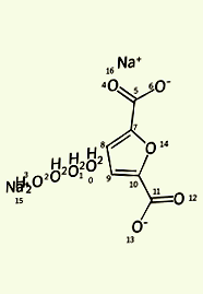 O.O.O.O.O=C([O-])c1ccc(C(=O)[O-])o1.[Na+].[Na+]